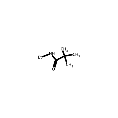 [CH2]CNC(=O)C(C)(C)C